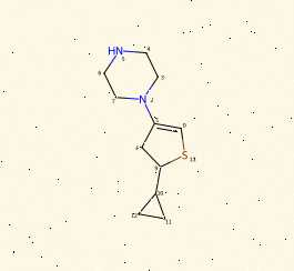 C1=C(N2CCNCC2)CC(C2CC2)S1